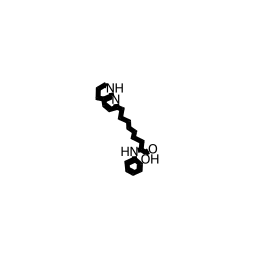 O=C(O)C(CCCCCCCc1ccc2c(n1)NCCC2)Nc1ccccc1